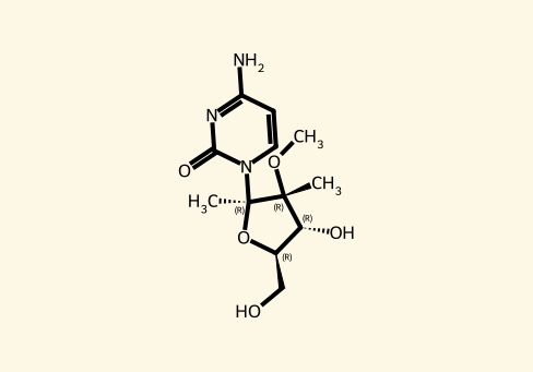 CO[C@]1(C)[C@H](O)[C@@H](CO)O[C@@]1(C)n1ccc(N)nc1=O